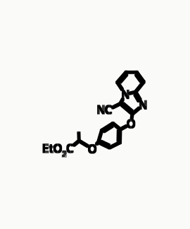 CCOC(=O)C(C)Oc1ccc(Oc2nc3ccccn3c2C#N)cc1